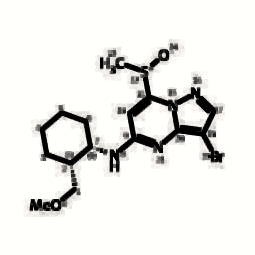 COC[C@@H]1CCCC[C@@H]1Nc1cc([S+](C)[O-])n2ncc(Br)c2n1